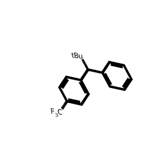 CC(C)(C)C(c1ccccc1)c1ccc(C(F)(F)F)cc1